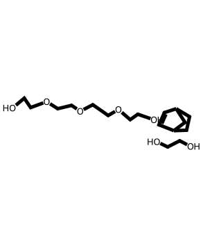 C1=CC2CCC1C2.OCCO.OCCOCCOCCOCCO